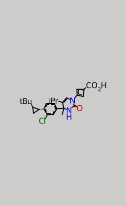 CC(C)C1=CN(C23CC(C(=O)O)(C2)C3)C(=O)NC1(C)c1ccc([C@@H]2C[C@H]2C(C)(C)C)c(Cl)c1